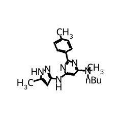 CCCCN(C)c1cc(Nc2cc(C)[nH]n2)nc(-c2ccc(C)cc2)n1